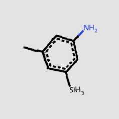 Cc1cc(N)cc([SiH3])c1